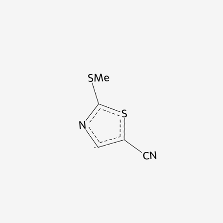 CSc1n[c]c(C#N)s1